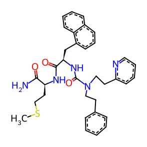 CSCC[C@H](NC(=O)[C@@H](Cc1cccc2ccccc12)NC(=O)N(CCc1ccccc1)CCc1ccccn1)C(N)=O